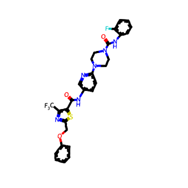 O=C(Nc1ccc(N2CCN(C(=O)Nc3ccccc3F)CC2)nc1)c1sc(COc2ccccc2)nc1C(F)(F)F